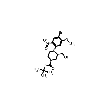 COc1cc(N2CCN(C(=O)OC(C)(C)C)C[C@@H]2CO)c([N+](=O)[O-])cc1Br